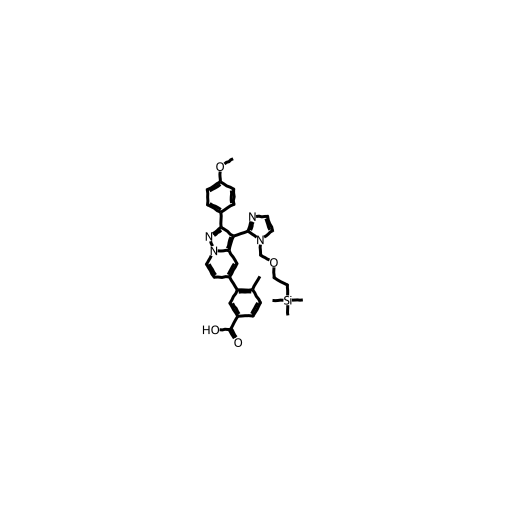 COc1ccc(-c2nn3ccc(-c4cc(C(=O)O)ccc4C)cc3c2-c2nccn2COCC[Si](C)(C)C)cc1